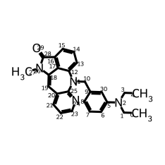 CCN(CC)c1cccc(CN2c3cccc4c3C(=Cc3cccnc32)N(C)C4=O)c1